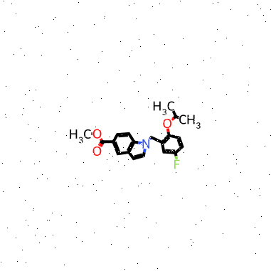 COC(=O)c1ccc2c(ccn2Cc2cc(F)ccc2OC(C)C)c1